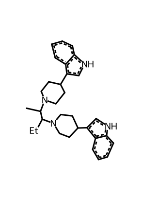 CCC(C(C)N1CCC(c2c[nH]c3ccccc23)CC1)N1CCC(c2c[nH]c3ccccc23)CC1